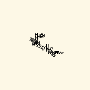 COC(=O)N[C@H](C(=O)N1CCC[C@H]1c1ncc(-c2ccc(-c3ccc(-c4cnc([C@@H]5C6CCC(C6)C5C(=O)NCCc5ccncc5)[nH]4)cc3)cc2)[nH]1)C(C)C